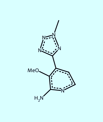 COc1c(-c2nnn(C)n2)ccnc1N